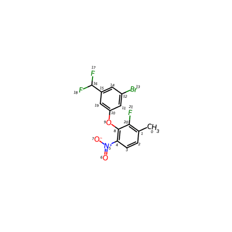 Cc1ccc([N+](=O)[O-])c(Oc2cc(Br)cc(C(F)F)c2)c1F